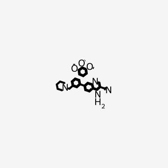 COc1cccc(OC)c1OC.N#Cc1cnc2cc(-c3cccc(CN4CCCCC4)c3)ccc2c1N